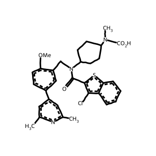 COc1ccc(-c2cc(C)nc(C)c2)cc1CN(C(=O)c1sc2ccccc2c1Cl)C1CCC(N(C)C(=O)O)CC1